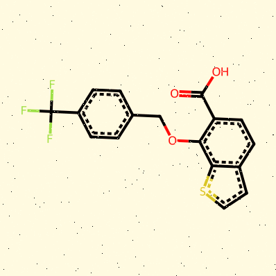 O=C(O)c1ccc2ccsc2c1OCc1ccc(C(F)(F)F)cc1